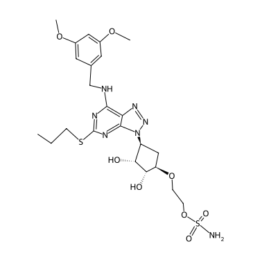 CCCSc1nc(NCc2cc(OC)cc(OC)c2)c2nnn([C@H]3C[C@@H](OCCOS(N)(=O)=O)[C@H](O)[C@@H]3O)c2n1